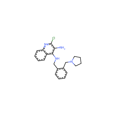 Nc1c(Cl)nc2ccccc2c1NCc1ccccc1CN1CCCC1